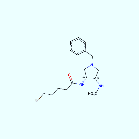 O=C(O)N[C@H]1CN(Cc2ccccc2)C[C@H]1NC(=O)CCCCBr